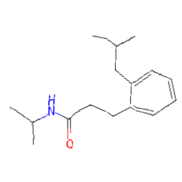 CC(C)Cc1ccccc1CCC(=O)NC(C)C